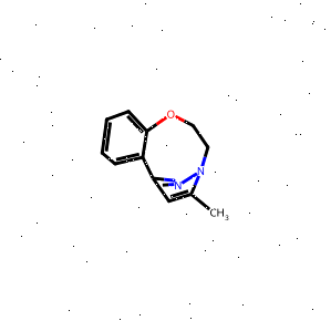 Cc1cc2nn1CCOc1ccccc1-2